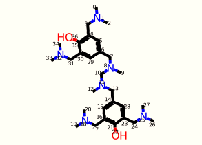 CN(C)Cc1cc(CN(C)CN(C)Cc2cc(CN(C)C)c(O)c(CN(C)C)c2)cc(CN(C)C)c1O